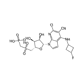 N#Cc1c(Cl)nc2c(ccn2[C@@H]2O[C@H](CS(=O)(=O)CP(=O)(O)O)[C@@H](O)[C@H]2O)c1NC1CC(F)C1